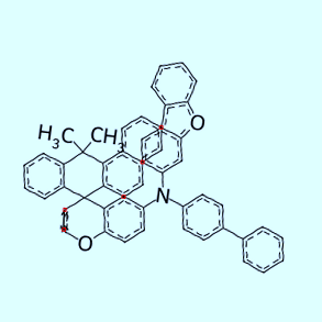 CC1(C)c2ccccc2C2(c3ccccc3Oc3ccc(N(c4ccc(-c5ccccc5)cc4)c4ccc5c(c4)oc4ccccc45)cc32)c2ccc3ccccc3c21